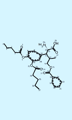 CCCCC(=O)Oc1ccc(C(C(C)COC(=O)c2ccccc2)[C@H](N)C(=O)O)cc1OC(=O)CCCC